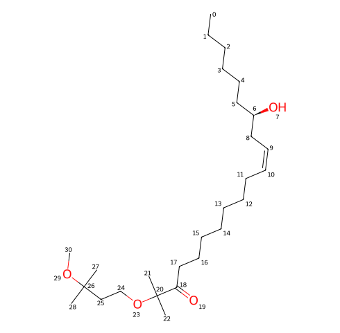 CCCCCC[C@@H](O)C/C=C\CCCCCCCC(=O)C(C)(C)OCCC(C)(C)OC